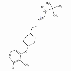 Cc1c(Br)cccc1OC1CCC(CC/C=N/[S@+]([O-])C(C)(C)C)CC1